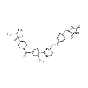 Cc1cc(C(=O)N2CCC(S(=O)(=O)N(C)C)CC2)ccc1-c1cccc(COc2ccc(Cn3oc(=O)[nH]c3=O)cc2)c1